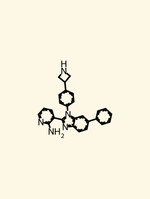 Nc1ncccc1-c1nc2ccc(-c3ccccc3)cc2n1-c1ccc(C2CNC2)cc1